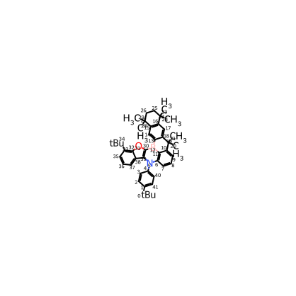 CC(C)(C)c1ccc(N2c3cccc4c3B(c3cc5c(cc3C4(C)C)C(C)(C)CCC5(C)C)c3oc4c(C(C)(C)C)cccc4c32)cc1